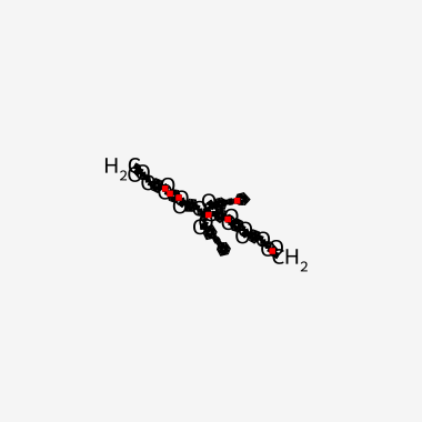 C=CC(=O)OCCOc1ccc(C(=O)Oc2ccc(OC(=O)c3ccc(OCC(COC(=O)c4ccc(C#Cc5ccccc5)cc4)(COC(=O)c4ccc(C#Cc5ccccc5)cc4)COc4ccc(C(=O)Oc5ccc(OC(=O)c6ccc(OCCOC(=O)C=C)cc6)cc5)cc4)cc3)cc2)cc1